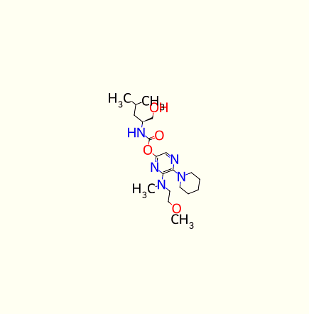 COCCN(C)c1nc(OC(=O)N[C@H](CO)CC(C)C)cnc1N1CCCCC1